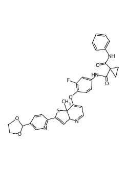 CC12SC(c3ccc(C4OCCO4)cn3)=CC1N=CC=C2Oc1ccc(NC(=O)C2(C(=O)Nc3ccccc3)CC2)cc1F